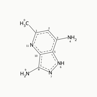 Cc1cc(N)c2[nH]nc(N)c2n1